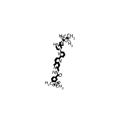 Cc1ccc(C(=O)NCc2cc3nc(-c4cccc(N5CCNC6(CN(C(=O)OC(C)(C)C)C6)C5)n4)ccc3cn2)cc1S(C)(=O)=O